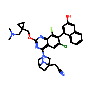 CN(C)CC1(COc2nc(N3CC4CC(CC#N)(C3)N4)c3cc(Cl)c(-c4cc(O)cc5ccccc45)c(F)c3n2)CC1